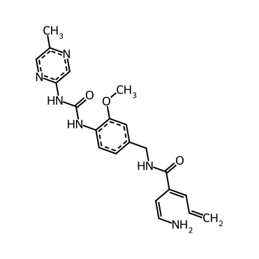 C=C/C=C(\C=C/N)C(=O)NCc1ccc(NC(=O)Nc2cnc(C)cn2)c(OC)c1